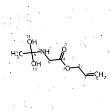 C=CCOC(=O)CNC(C)(O)O